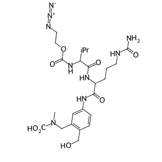 CC(C)C(NC(=O)OCCN=[N+]=[N-])C(=O)NC(CCCNC(N)=O)C(=O)Nc1ccc(CO)c(CN(C)C(=O)O)c1